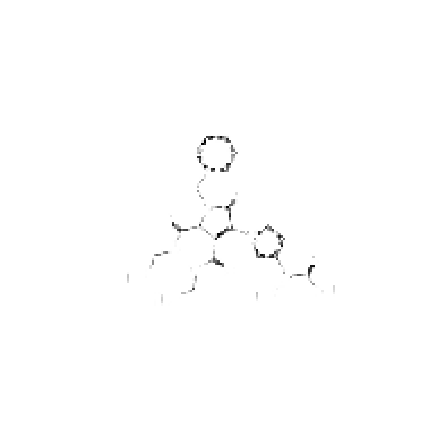 CCOC(=O)C1=C(n2ccc(N(C)C(=O)O)c2)C(=O)N(Cc2ccccc2)C1C(=O)OCC